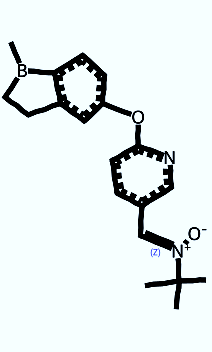 CB1CCc2cc(Oc3ccc(/C=[N+](\[O-])C(C)(C)C)cn3)ccc21